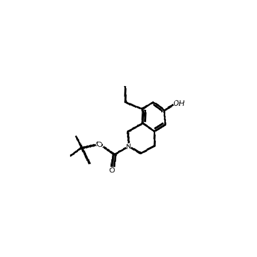 CCc1cc(O)cc2c1CN(C(=O)OC(C)(C)C)CC2